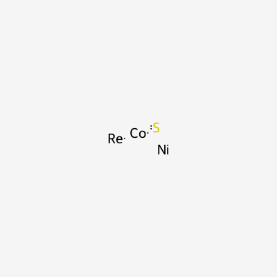 [Co].[Ni].[Re].[S]